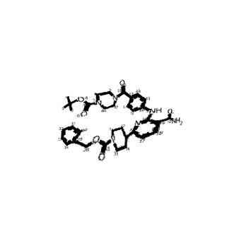 CC(C)(C)OC(=O)N1CCN(C(=O)c2ccc(Nc3nc(C4CCN(C(=O)OCc5ccccc5)CC4)ccc3C(N)=O)cc2)CC1